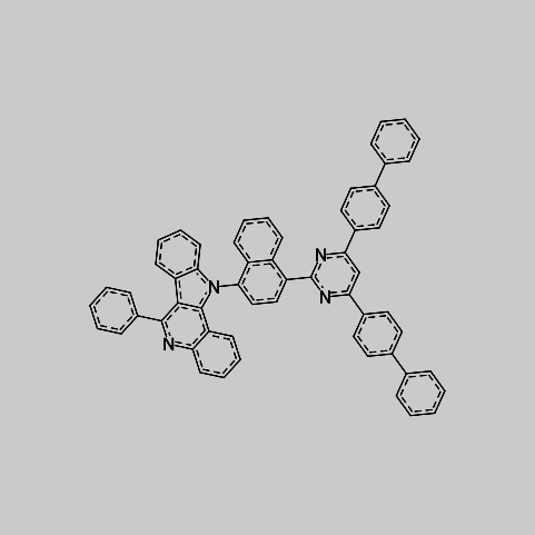 c1ccc(-c2ccc(-c3cc(-c4ccc(-c5ccccc5)cc4)nc(-c4ccc(-n5c6ccccc6c6c(-c7ccccc7)nc7ccccc7c65)c5ccccc45)n3)cc2)cc1